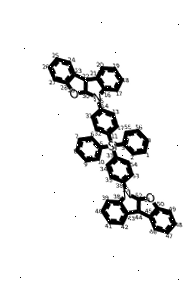 c1ccc([Si](c2ccccc2)(c2ccc(N3c4ccccc4C4c5ccccc5OC43)cc2)c2ccc(N3c4ccccc4C4c5ccccc5OC43)cc2)cc1